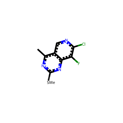 CSc1nc(C)c2cnc(Cl)c(F)c2n1